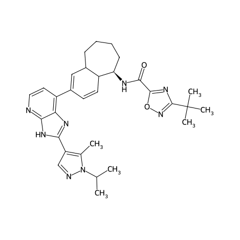 Cc1c(-c2nc3c(C4=CC5CCCC[C@@H](NC(=O)c6nc(C(C)(C)C)no6)C5C=C4)ccnc3[nH]2)cnn1C(C)C